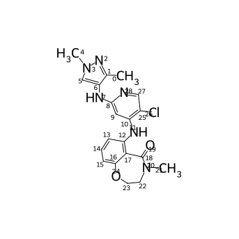 Cc1nn(C)cc1Nc1cc(Nc2cccc3c2C(=O)N(C)CCO3)c(Cl)cn1